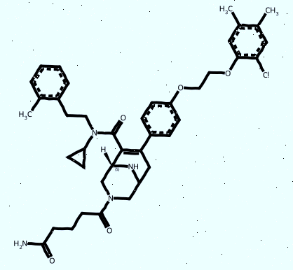 Cc1cc(Cl)c(OCCOc2ccc(C3=C(C(=O)N(CCc4ccccc4C)C4CC4)[C@H]4CN(C(=O)CCCC(N)=O)CC(C3)N4)cc2)cc1C